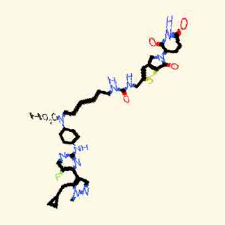 Cn1ncc(-c2nc(N[C@H]3CC[C@H](N(CCCCCCNC(=O)NCc4cc5c(s4)C(=O)N(C4CCC(=O)NC4=O)C5)C(=O)O)CC3)ncc2F)c1CC1CC1